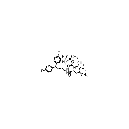 CCN(C(=O)OC(C)(C)C)C(CC(C)C)C(=O)NCCCC(c1ccc(F)cc1)c1ccc(F)cc1